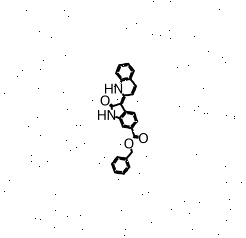 O=C1Nc2cc(C(=O)OCc3ccccc3)ccc2/C1=C1\C=Cc2ccccc2N1